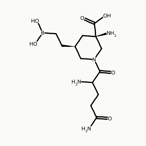 NC(=O)CCC(N)C(=O)N1C[C@@H](CCB(O)O)C[C@](N)(C(=O)O)C1